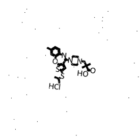 Cc1ccc2c(c1)Oc1sc(SC(C)C)cc1C(N1CCN(CC(C)(C)C(=O)O)CC1)=N2.Cl